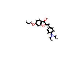 CCCOc1ccc2c(c1)O/C(=C\c1ccc(N(CC)CC)cc1)C2=O